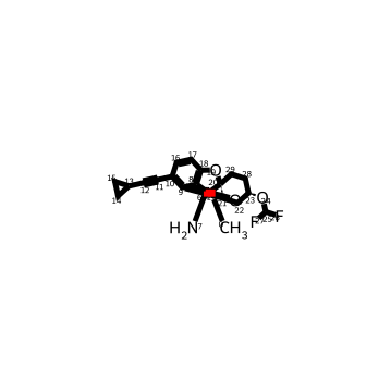 CN1C(=O)C2(N=C1N)c1cc(C#CC3CC3)ccc1O[C@]21CC[C@@H](OC(F)F)CC1